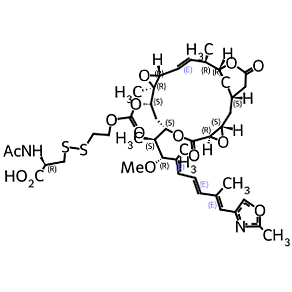 CO[C@@H](/C(C)=C/C=C/C(C)=C/c1coc(C)n1)[C@@H](C)[C@@H]1C[C@H](OC(=O)OCCSSC[C@H](NC(C)=O)C(=O)O)[C@@]2(C)O[C@@H]2/C=C/[C@@H](C)[C@H]2C[C@H](CC(=O)O2)C[C@@H]2O[C@H]2C(=O)O1